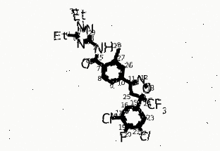 CCc1nc(NC(=O)c2ccc(C3=NOC(c4cc(Cl)c(F)c(Cl)c4)(C(F)(F)F)C3)cc2C)nn1CC